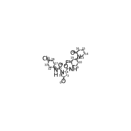 COC1CC(C(=O)Nc2ccc(-n3ccccc3=O)cc2F)N(C(=O)Nc2ccc(Cl)cc2)C1